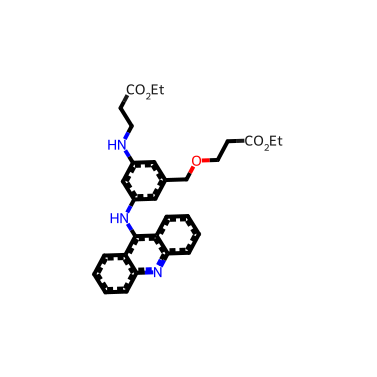 CCOC(=O)CCNc1cc(COCCC(=O)OCC)cc(Nc2c3ccccc3nc3ccccc23)c1